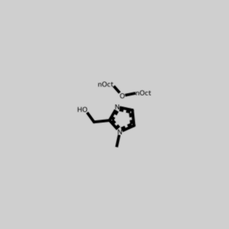 CCCCCCCCOCCCCCCCC.Cn1ccnc1CO